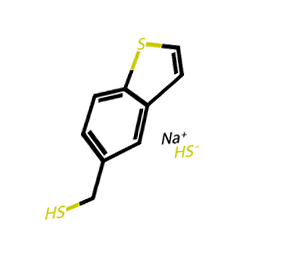 SCc1ccc2sccc2c1.[Na+].[SH-]